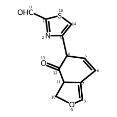 O=Cc1nc(C2C=CC3=COCC3C2=O)cs1